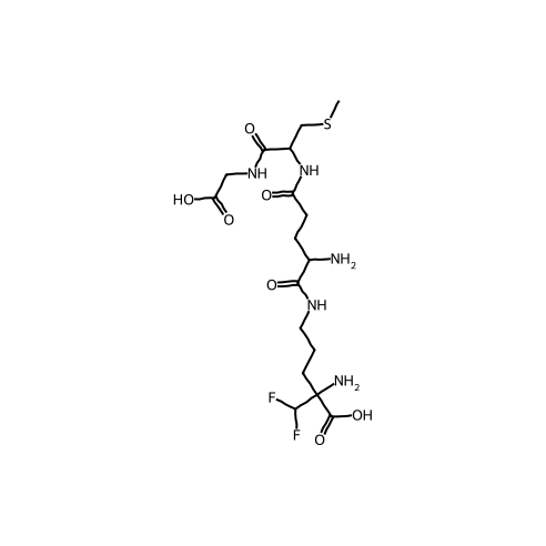 CSCC(NC(=O)CCC(N)C(=O)NCCCC(N)(C(=O)O)C(F)F)C(=O)NCC(=O)O